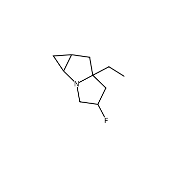 CCC12CC(F)CN1C1CC1C2